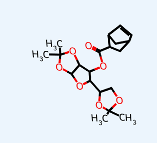 CC1(C)OCC(C2OC3OC(C)(C)OC3C2OC(=O)C2CC3C=CC2C3)O1